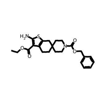 CCOC(=O)c1c(N)sc2c1CCC1(CCN(C(=O)OCc3ccccc3)CC1)C2